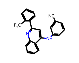 N#Cc1cccc(Nc2cc(-c3ccccc3C(F)(F)F)nc3ccccc23)c1